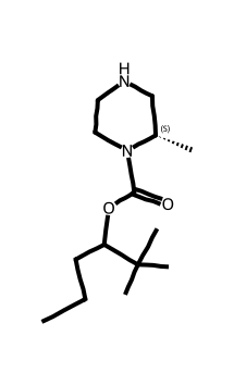 CCCC(OC(=O)N1CCNC[C@@H]1C)C(C)(C)C